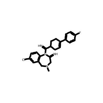 CN1CC(=N)N(C(=N)C2CC=C(c3ccc(F)cc3)CC2)c2ccc(Cl)cc2C1